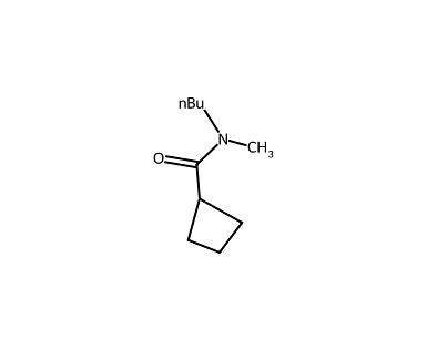 CCCCN(C)C(=O)C1CCC1